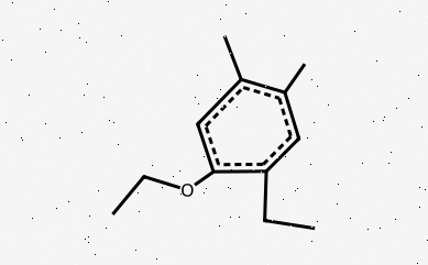 CCOc1cc(C)c(C)cc1CC